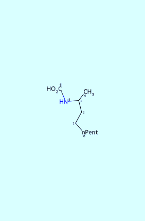 CCCCCCCC(C)NC(=O)O